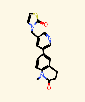 CN1C(=O)CCc2cc(-c3cncc(Cn4ccsc4=O)c3)ccc21